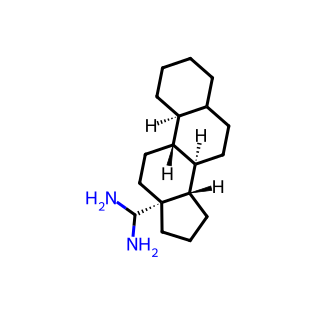 NC(N)[C@@]12CCC[C@H]1[C@@H]1CCC3CCCC[C@@H]3[C@H]1CC2